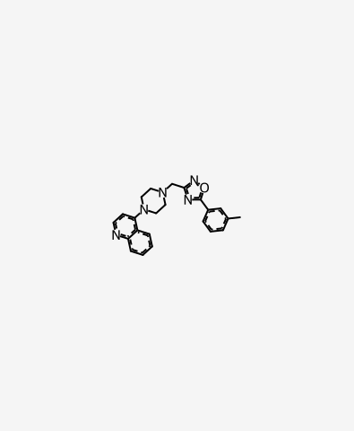 Cc1cccc(-c2nc(CN3CCN(c4ccnc5ccccc45)CC3)no2)c1